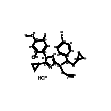 C#CCN(c1nc(C2CC2)n(-c2cc(C)c(OC)cc2Cl)n1)C(CC1CC1)c1ccc(F)cc1.Cl